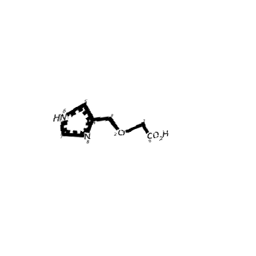 O=C(O)COCc1c[nH]cn1